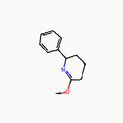 COC1=NC(c2ccccc2)CCC1